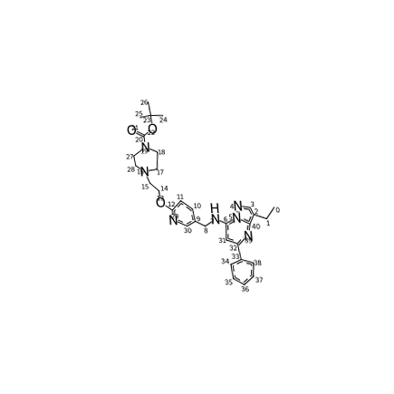 CCc1cnn2c(NCc3ccc(OCCN4CCN(C(=O)OC(C)(C)C)CC4)nc3)cc(-c3ccccc3)nc12